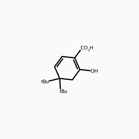 CC(C)(C)C1(C(C)(C)C)C=CC(C(=O)O)=C(O)C1